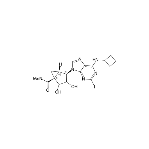 CNC(=O)[C@@]12C[C@@H]1[C@@H](n1cnc3c(NC4CCC4)nc(I)nc31)C(O)C2O